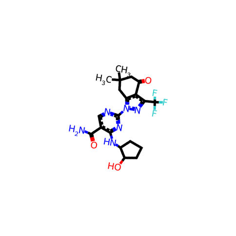 CC1(C)CC(=O)c2c(C(F)(F)F)nn(-c3ncc(C(N)=O)c(NC4CCCC4O)n3)c2C1